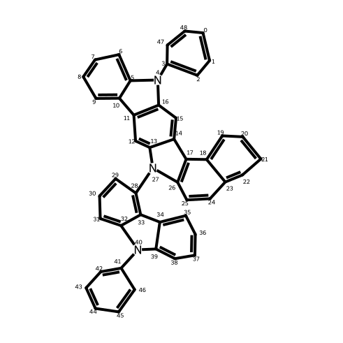 c1ccc(-n2c3ccccc3c3cc4c(cc32)c2c3ccccc3ccc2n4-c2cccc3c2c2ccccc2n3-c2ccccc2)cc1